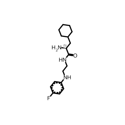 N[C@@H](CC1CCCCC1)C(=O)NCCNc1ccc(F)cc1